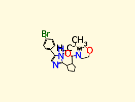 CC(C)[C@@H]1COCCN1C(=O)C1CCCC1c1ncc(-c2ccc(Br)cc2)[nH]1